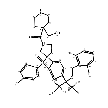 O=C(N1CC[C@](c2ccc(C(OCc3c(F)cccc3F)(C(F)(F)F)C(F)(F)F)cc2)(S(=O)(=O)c2ccc(F)cc2)C1)C1(CO)CCNCC1